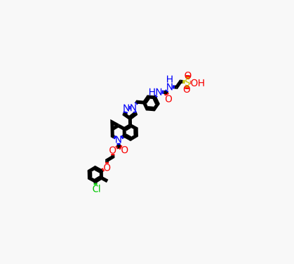 Cc1c(Cl)cccc1OCCOC(=O)N1CC2CC2c2c(-c3cnn(Cc4cccc(NC(=O)NCCS(=O)(=O)O)c4)c3)cccc21